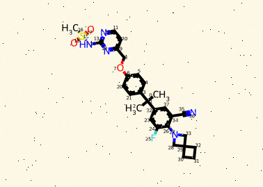 CC(C)(c1ccc(OCc2ccnc(NS(C)(=O)=O)n2)cc1)c1cc(F)c(N2CC3(CCC3)C2)c(C#N)c1